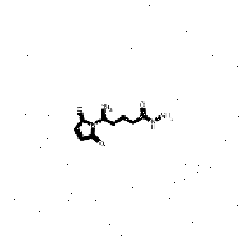 C=C(CCCC(=O)NN)N1C(=O)C=CC1=O